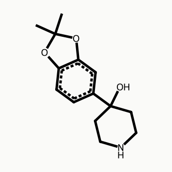 CC1(C)Oc2ccc(C3(O)CCNCC3)cc2O1